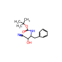 CC(C)(C)OC(=O)NC(Cc1ccccc1)C(O)C#N